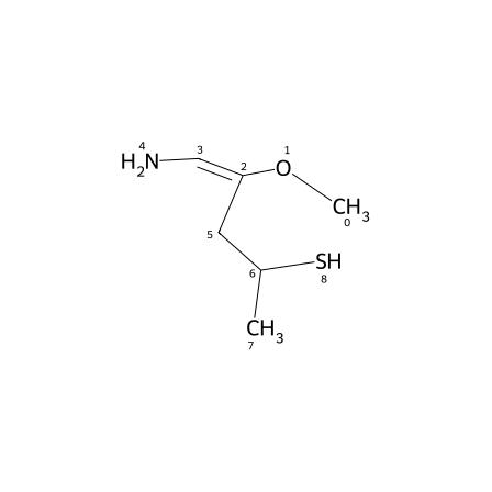 CO/C(=C/N)CC(C)S